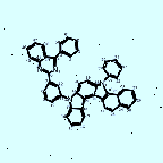 c1ccc(-c2nc(-c3cccc(-n4c5ccccc5c5c6c7ccc8ccccc8c7n(-c7ccccc7)c6ccc54)c3)nc3ccccc23)cc1